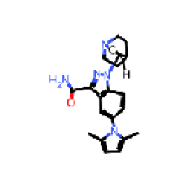 Cc1ccc(C)n1-c1ccc2c(c1)c(C(N)=O)nn2[C@@H]1CN2CCC1CC2